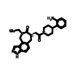 CC(C)(C)CN1Cc2c(ccc3[nH]ncc23)C[C@@H](CC(=O)N2CCC(c3ccccc3N)CC2)C1=O